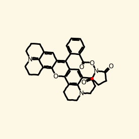 O=C(ON1C(=O)CCC1=O)c1ccccc1C1=c2cc3c4c(c2Oc2c1cc1c5c2CCCN5CCC1)CCC[N+]=4CCC3